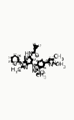 Cc1cc(-c2ccc(Nc3cc(NC(=O)C4CC4)nc4c3nc(C)n4C3CCCCO3)c(S(C)(=O)=O)c2)nn1C